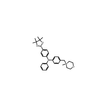 CC1(C)OB(c2ccc(N(c3ccccc3)c3ccc(C[N+]4(C)CCOCC4)cc3)cc2)OC1(C)C